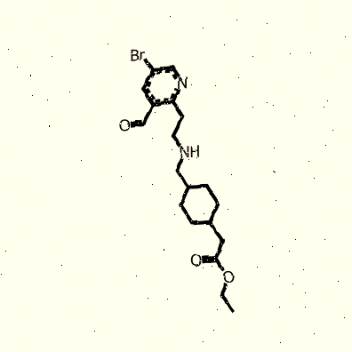 CCOC(=O)CC1CCC(CNCCc2ncc(Br)cc2C=O)CC1